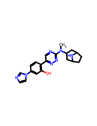 CN(c1ncc(-c2ccc(-n3ccnc3)cc2O)nn1)C1CC2CCC(C1)N2